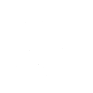 COC(=O)C(OC)Oc1nn(-c2ncccc2[S+](C)[O-])c(-c2ccc(F)nc2)c1I